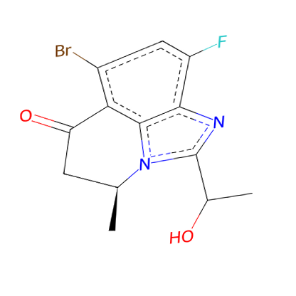 CC(O)c1nc2c(F)cc(Br)c3c2n1[C@@H](C)CC3=O